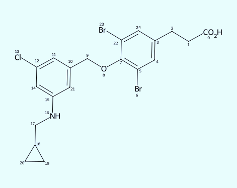 O=C(O)CCc1cc(Br)c(OCc2cc(Cl)cc(NCC3CC3)c2)c(Br)c1